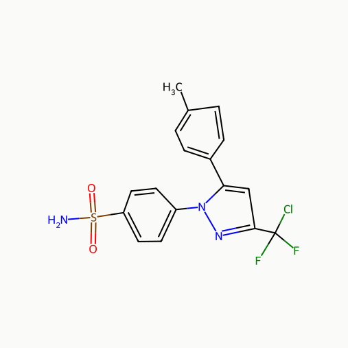 Cc1ccc(-c2cc(C(F)(F)Cl)nn2-c2ccc(S(N)(=O)=O)cc2)cc1